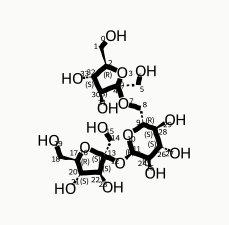 OC[C@H]1O[C@@](CO)(OC[C@H]2O[C@H](O[C@]3(CO)O[C@H](CO)[C@@H](O)[C@@H]3O)[C@H](O)[C@@H](O)[C@@H]2O)[C@@H](O)[C@@H]1O